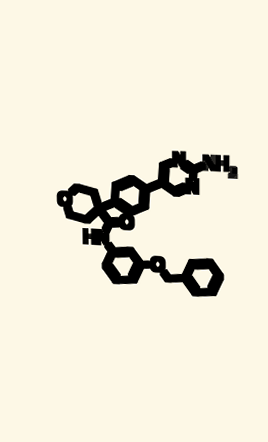 Nc1ncc(-c2ccc(C3(C(=O)Nc4cccc(OCc5ccccc5)c4)CCOCC3)cc2)cn1